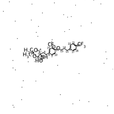 CC1(C)OCC(CCc2ccc(OCCCc3ccc(C(F)(F)F)cc3)c(C(F)(F)F)c2)(NO)CO1